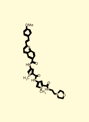 COc1ccc(C=Cc2ccc3cc(C(=O)Nc4cc(C(=O)Nc5cc(C(=O)NCCN6CCOCC6)n(C)c5)n(C)c4)ccc3n2)cc1